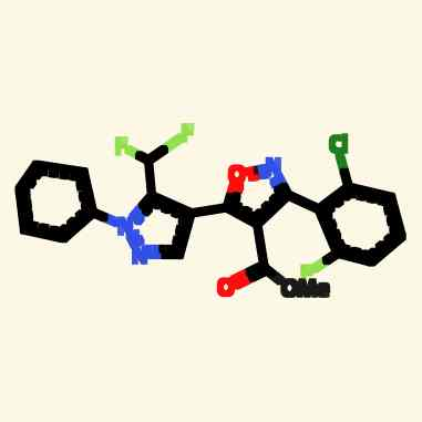 COC(=O)c1c(-c2c(F)cccc2Cl)noc1-c1cnn(-c2ccccc2)c1C(F)F